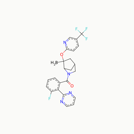 BC1(Oc2ccc(C(F)(F)F)cn2)CC2CC1N(C(=O)c1cccc(F)c1-c1ncccn1)C2